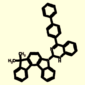 CC1(C)c2ccccc2-c2c1ccc1c2c2ccccc2n1C1N=C(c2ccc(-c3ccccc3)cc2)c2ccccc2N1